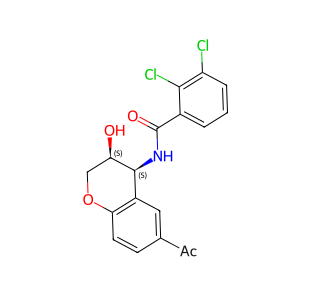 CC(=O)c1ccc2c(c1)[C@H](NC(=O)c1cccc(Cl)c1Cl)[C@H](O)CO2